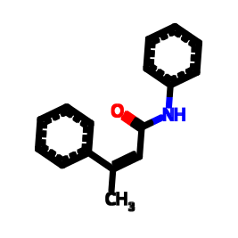 CC(=CC(=O)Nc1ccccc1)c1ccccc1